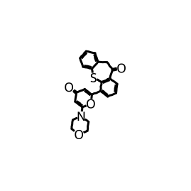 O=C1Cc2ccccc2Sc2c1cccc2-c1cc(=O)cc(N2CCOCC2)o1